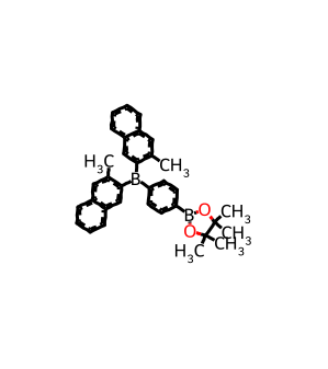 Cc1cc2ccccc2cc1B(c1ccc(B2OC(C)(C)C(C)(C)O2)cc1)c1cc2ccccc2cc1C